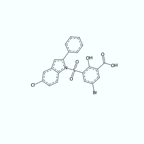 O=C(O)c1cc(Br)cc(S(=O)(=O)n2c(-c3ccccc3)cc3cc(Cl)ccc32)c1O